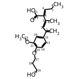 C=C(/C=C(C)/C(=C\CC)C(=O)O)c1ccc(OCCCO)c(OC)c1